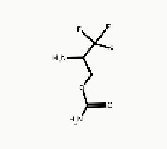 NC(=O)OCC(N)C(F)(F)F